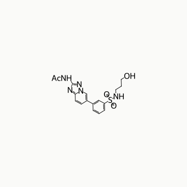 CC(=O)Nc1nc2ccc(-c3cccc(S(=O)(=O)NCCCO)c3)cn2n1